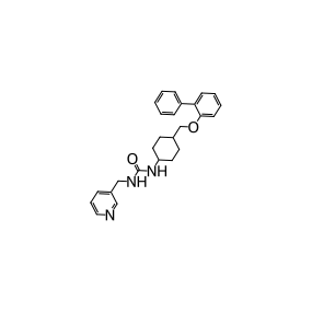 O=C(NCc1cccnc1)NC1CCC(COc2ccccc2-c2ccccc2)CC1